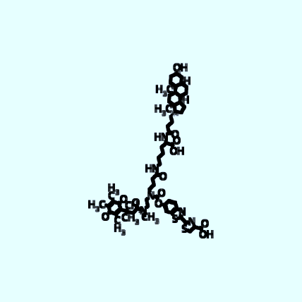 CC1=C(C)C(=O)C(C(C)(C)CC(=O)N(C)CCN(CCCC(=O)NCCCCC(NC(=O)CCC[C@H]2CCC3[C@@H]4CC[C@@H]5C[C@H](O)CC[C@]5(C)C4CC[C@@]32C)C(=O)O)C(=O)Oc2ccc3nc(C4=NC(C(=O)O)CS4)sc3c2)=C(C)C1=O